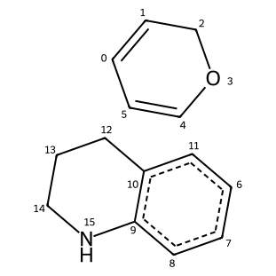 C1=CCOC=C1.c1ccc2c(c1)CCCN2